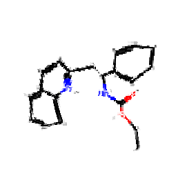 CCOC(=O)N[C@H](Cc1ccc2ccccc2n1)c1ccccc1